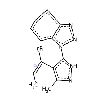 C/C=C(/CCC)c1c(C)n[nH]c1-n1nnc2ccccc21